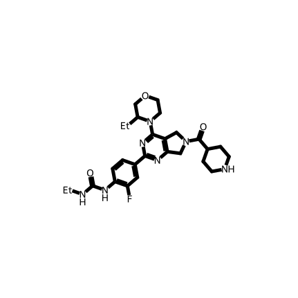 CCNC(=O)Nc1ccc(-c2nc3c(c(N4CCOCC4CC)n2)CN(C(=O)C2CCNCC2)C3)cc1F